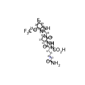 NC(=O)/C=C/CCC(NC(=O)O)C(=O)Nc1cccn(Cc2nc3c(OCC(F)(F)F)cc(F)cc3[nH]2)c1=O